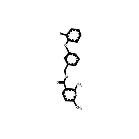 Cc1ccc(C(=O)NCc2cccc(Oc3ccccc3I)c2)c(N)n1